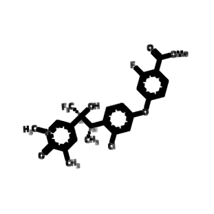 COC(=O)c1ccc(Oc2ccc([C@H](C)[C@](O)(c3cc(C)c(=O)n(C)c3)C(F)(F)F)c(Cl)c2)cc1F